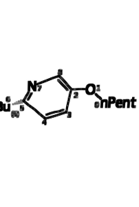 CCCCCOc1ccc([C@@H](C)CC)nc1